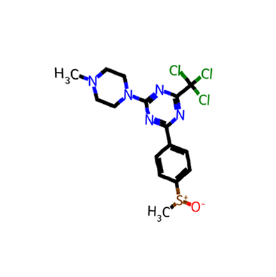 CN1CCN(c2nc(-c3ccc([S+](C)[O-])cc3)nc(C(Cl)(Cl)Cl)n2)CC1